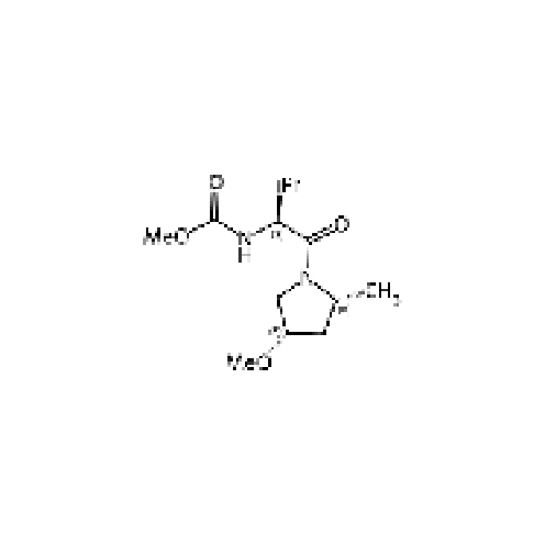 COC(=O)N[C@H](C(=O)N1C[C@@H](OC)C[C@H]1C)C(C)C